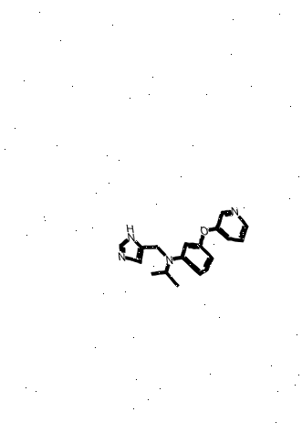 CC(C)N(Cc1cnc[nH]1)c1cccc(Oc2cccnc2)c1